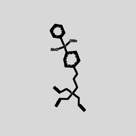 C=CC[Si](CC=C)(CC=C)CCCc1ccc([Si](OC)(OC)c2ccccc2)cc1